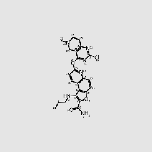 CCCNc1c(C(N)=O)oc2ccc3nc(Oc4nc(Cl)nc5c4CN(C)CC5)ccc3c12